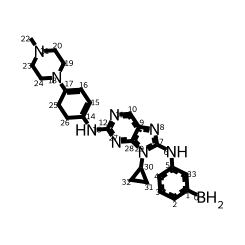 Bc1cccc(Nc2nc3cnc(NC4=CC=C(N5CCN(C)CC5)CC4)nc3n2C2CC2)c1